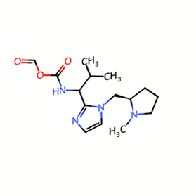 CC(C)C(NC(=O)OC=O)c1nccn1C[C@H]1CCCN1C